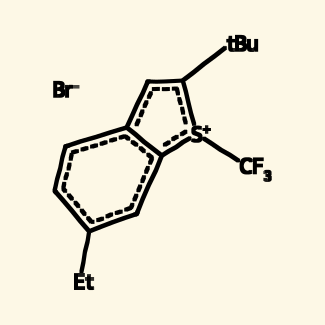 CCc1ccc2cc(C(C)(C)C)[s+](C(F)(F)F)c2c1.[Br-]